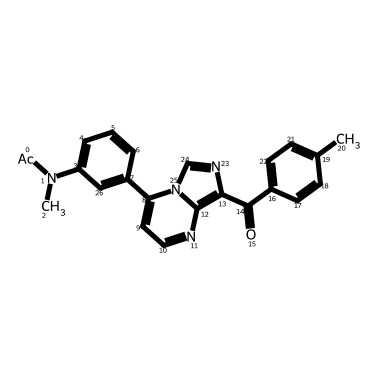 CC(=O)N(C)c1cccc(-c2ccnc3c(C(=O)c4ccc(C)cc4)ncn23)c1